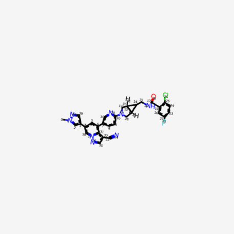 Cn1cc(-c2cc(-c3ccc(N4C[C@@H]5C(CNC(=O)c6cc(F)ccc6Cl)[C@@H]5C4)nc3)c3c(C#N)cnn3c2)cn1